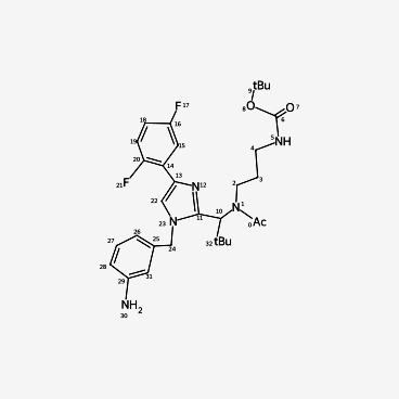 CC(=O)N(CCCNC(=O)OC(C)(C)C)C(c1nc(-c2cc(F)ccc2F)cn1Cc1cccc(N)c1)C(C)(C)C